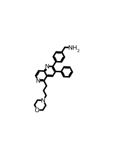 NCc1ccc(-c2nc3ccnc(CCCN4CCOCC4)c3cc2-c2ccccc2)cc1